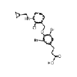 O=C(O)CCc1cc(Br)c(OCc2cccc(NCC3CC3)c2Cl)c(Br)c1